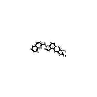 O=C1NC(=O)C(=Cc2cccc3c2ccn3Cc2ccc3ccccc3n2)S1